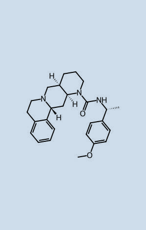 COc1ccc([C@@H](C)NC(=O)N2CCC[C@@H]3CN4CCc5ccccc5[C@H]4C[C@@H]32)cc1